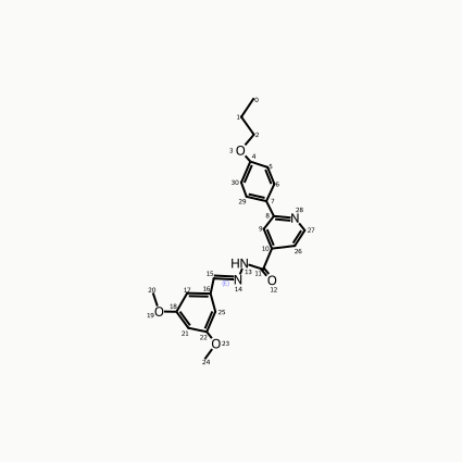 CCCOc1ccc(-c2cc(C(=O)N/N=C/c3cc(OC)cc(OC)c3)ccn2)cc1